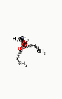 CCCC/C=C\CCCCCCCC(=O)OC[C@H](COP(=O)([O-])OCC[N+](C)(C)C)OC(=O)CCCCCCC/C=C\CCCCC